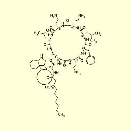 CCCCCCC[C@@H](O)CC(=O)N[C@H](CC1CNC2CCCCC12C1CCCCCCCCC1)C(=O)N[C@H]1CCNC(=O)[C@H](CC(C)C)NC(=O)[C@H](CCN)NC(=O)[C@H](CCN)NC(=O)[C@H](CC(C)C)NC(=O)[C@@H](Cc2ccccc2)NC(=O)[C@H](CCN)NC1=O